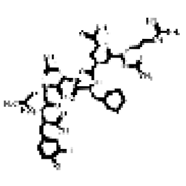 CC(=O)N[C@@H](CCCNC(=N)N)C(=O)C[C@@H](CCC(N)=O)C(=O)N[C@@H](CC1CCCCC1)C(=O)N[C@@H](CC(N)=O)C(=O)N[C@@H](CC(C)C)C(=O)NC(Cc1ccc(Cl)c(Cl)c1)C(=O)O